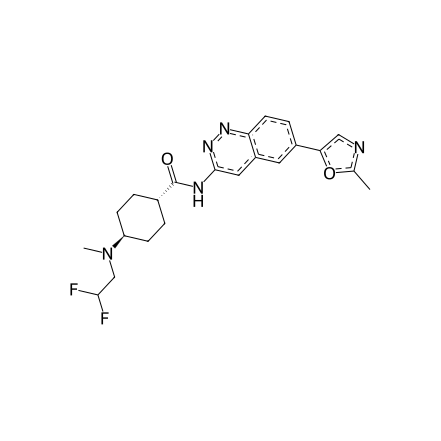 Cc1ncc(-c2ccc3nnc(NC(=O)[C@H]4CC[C@H](N(C)CC(F)F)CC4)cc3c2)o1